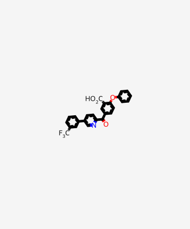 O=C(c1ccc(Oc2ccccc2)c(C(=O)O)c1)c1ccc(-c2cccc(C(F)(F)F)c2)cn1